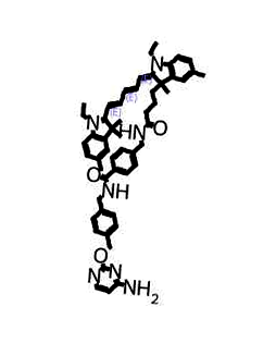 CCN1/C(=C/C=C/C=C/C2=[N+](CC)c3ccc(C)cc3C2(C)C)C(C)(CCCC(=O)NCc2ccc(C(=O)NCc3ccc(COc4nccc(N)n4)cc3)cc2)c2cc(C)ccc21